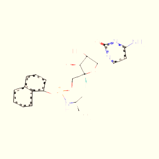 C[C@H](NP(=O)(OC[C@@]1(F)O[C@@H](n2ccc(N)nc2=O)[C@](C)(O)[C@@H]1O)Oc1cccc2ccccc12)C(=O)O